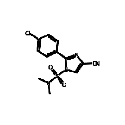 CN(C)S(=O)(=O)n1cc(C#N)nc1-c1ccc(Cl)cc1